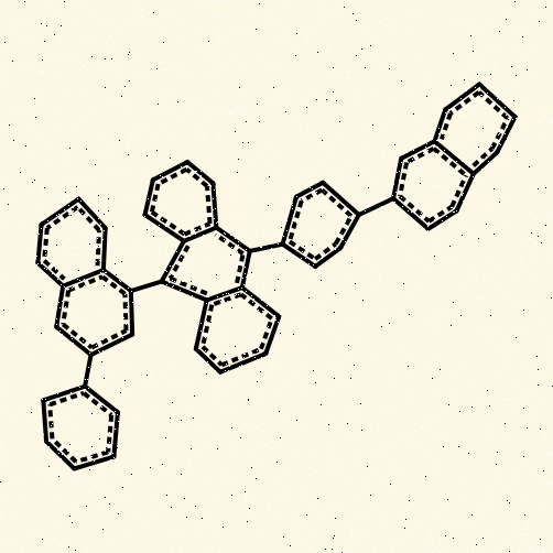 c1ccc(-c2cc(-c3c4ccccc4c(-c4ccc(-c5ccc6ccccc6c5)cc4)c4ccccc34)c3ccccc3c2)cc1